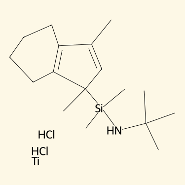 CC1=CC(C)([Si](C)(C)NC(C)(C)C)C2=C1CCCC2.Cl.Cl.[Ti]